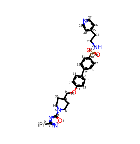 CC(C)c1noc(N2CCC(COc3ccc(-c4ccc(S(=O)(=O)NCCc5ccncc5)cc4)cc3)CC2)n1